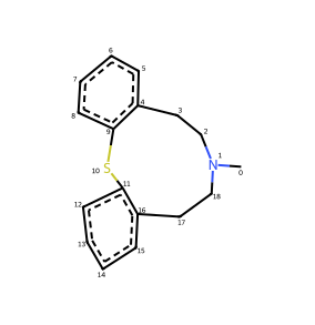 CN1CCc2ccccc2Sc2ccccc2CC1